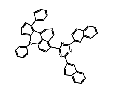 c1ccc(-c2cccc3c2-c2cccc4c(-c5nc(-c6ccc7ccccc7c6)nc(-c6ccc7ccccc7c6)n5)ccc(c24)N3c2ccccc2)cc1